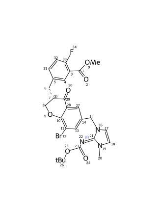 COC(=O)c1cc(C[C@H]2COc3c(Br)cc(Cn4ccn(C)/c4=N\C(=O)OC(C)(C)C)cc3C2=O)ccc1F